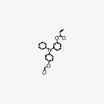 C=CC(=O)Oc1cccc(N(c2ccccc2)c2ccc(OC=O)cc2)c1